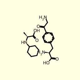 C[C@H](NC1CCCCC1)C(=O)O.NCC(=O)c1ccc(C[C@H](N)C(=O)O)cc1